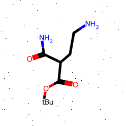 CC(C)(C)OC(=O)C(CCN)C(N)=O